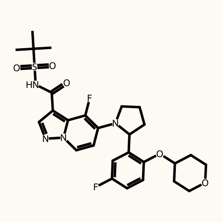 CC(C)(C)S(=O)(=O)NC(=O)c1cnn2ccc(N3CCCC3c3cc(F)ccc3OC3CCOCC3)c(F)c12